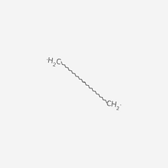 [CH2]CCCCCCCCCCCCCC=CCCCCCCCCCCCCC[CH2]